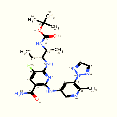 CC[C@@H](Nc1nc(Nc2cnc(C)c(-n3nccn3)c2)c(C(N)=O)cc1F)[C@H](C)NC(=O)OC(C)(C)C